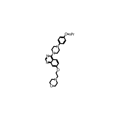 CCCOc1ccc(N2CCN(c3ncnc4cc(OCCN5CCOCC5)ccc34)CC2)cc1